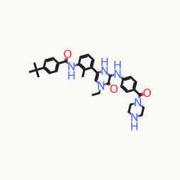 CCN1C=C(c2cccc(NC(=O)c3ccc(C(C)(C)C)cc3)c2C)NC(Nc2ccc(C(=O)N3CCNCC3)cc2)C1=O